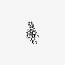 N#Cc1ccc2c(c1)c1ccccc1n2-c1c(C#N)cccc1-c1ccccc1-c1ccc2sc3ccccc3c2c1